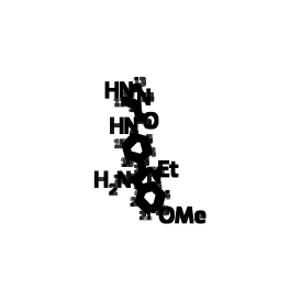 CCn1c(-c2ccc(NC(=O)c3c[nH]cn3)cc2)c(N)c2ccc(OC)cc21